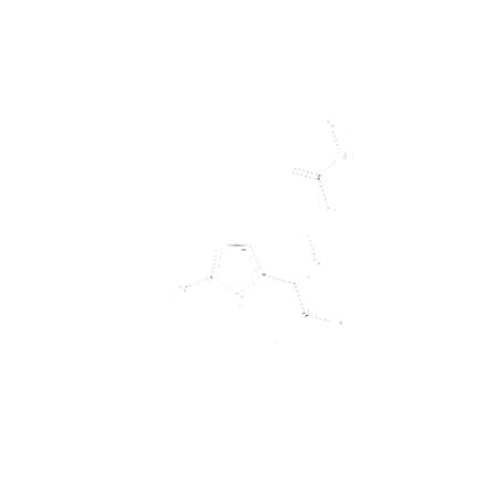 NNC(=O)CO/N=C(/C(=O)O)c1csc(N)n1